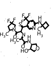 C/C(=N\C(C(=O)N1CC(F)(F)C[C@@H]1C)C(=S)c1cnc(NC2(C)CCC2)cc1C(F)(F)F)C(=O)N[C@@H]1COC[C@H]1O